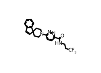 O=C(NCCC(F)(F)F)c1ccc(N2CCC3(C=Cc4ccccc43)CC2)nn1